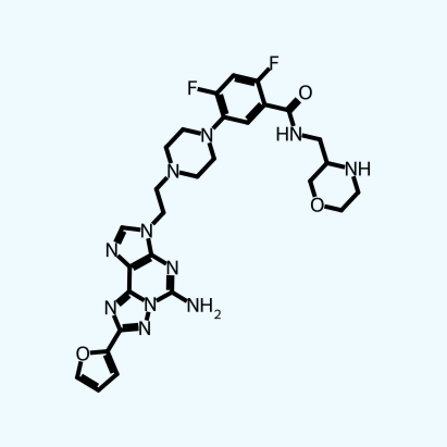 Nc1nc2c(ncn2CCN2CCN(c3cc(C(=O)NCC4COCCN4)c(F)cc3F)CC2)c2nc(-c3ccco3)nn12